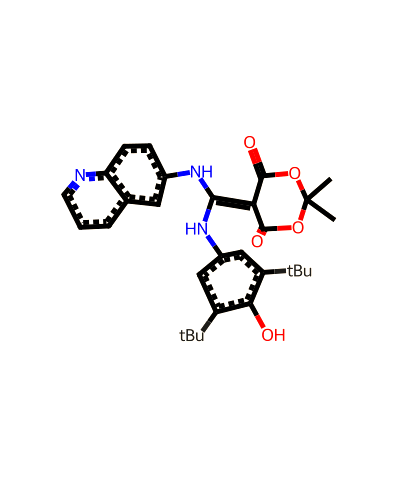 CC1(C)OC(=O)C(=C(Nc2cc(C(C)(C)C)c(O)c(C(C)(C)C)c2)Nc2ccc3ncccc3c2)C(=O)O1